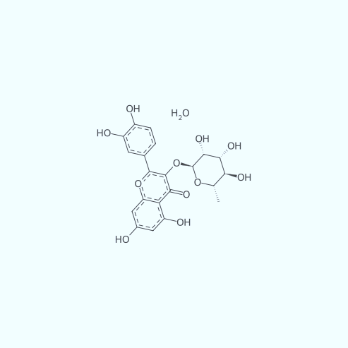 C[C@@H]1O[C@@H](Oc2c(-c3ccc(O)c(O)c3)oc3cc(O)cc(O)c3c2=O)[C@H](O)[C@H](O)[C@H]1O.O